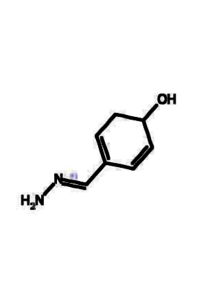 N/N=C/C1=CCC(O)C=C1